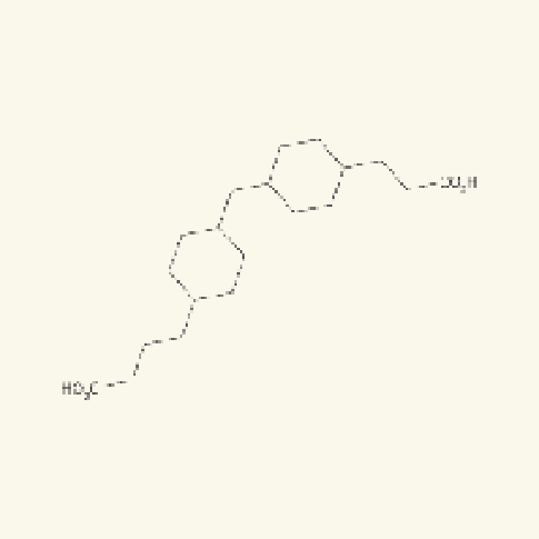 O=C(O)CCCC1CCC(CC2CCC(CCC(=O)O)CC2)CC1